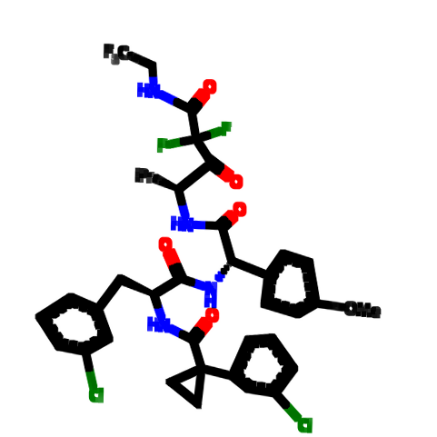 COc1ccc([C@H](NC(=O)[C@H](Cc2cccc(Cl)c2)NC(=O)C2(c3cccc(Cl)c3)CC2)C(=O)N[C@H](C(=O)C(F)(F)C(=O)NCC(F)(F)F)C(C)C)cc1